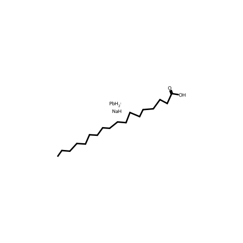 CCCCCCCCCCCCCCCCCC(=O)O.[NaH].[PbH2]